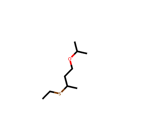 CCSC(C)CCOC(C)C